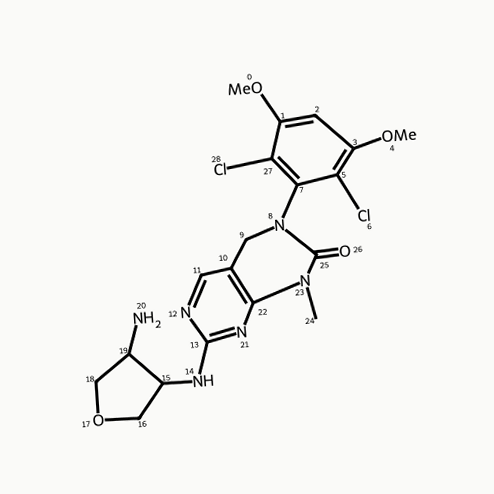 COc1cc(OC)c(Cl)c(N2Cc3cnc(NC4COCC4N)nc3N(C)C2=O)c1Cl